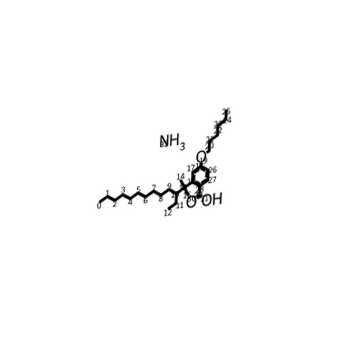 CCCCCCCCCCC(CC)C(C)(C)c1cc(OCCCCCC)ccc1C(=O)O.N